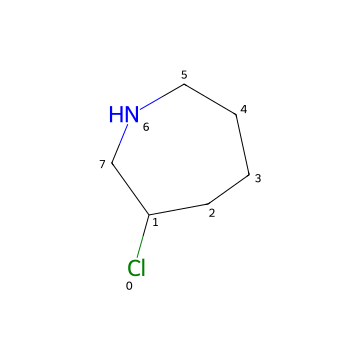 ClC1CCCCNC1